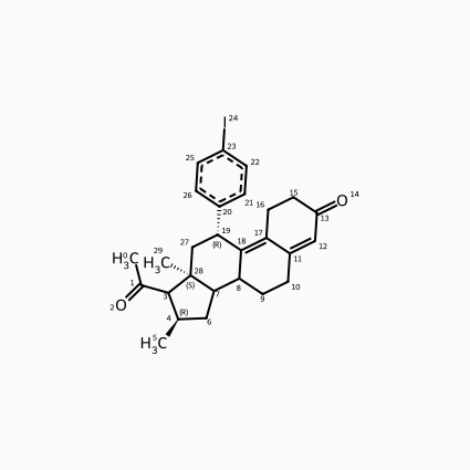 CC(=O)C1[C@H](C)CC2C3CCC4=CC(=O)CCC4=C3[C@@H](c3ccc(I)cc3)C[C@@]21C